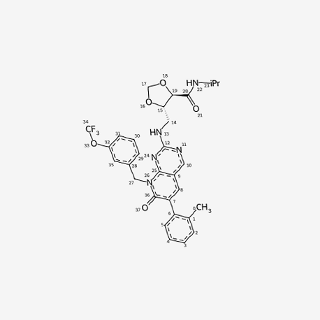 Cc1ccccc1-c1cc2cnc(NC[C@@H]3OCO[C@H]3C(=O)NC(C)C)nc2n(Cc2cccc(OC(F)(F)F)c2)c1=O